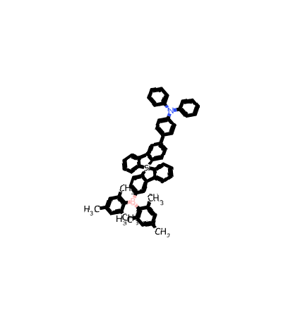 Cc1cc(C)c(B(c2ccc3c(c2)-c2ccccc2[Si]32c3ccccc3-c3cc(-c4ccc(N(c5ccccc5)c5ccccc5)cc4)ccc32)c2c(C)cc(C)cc2C)c(C)c1